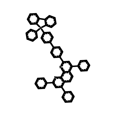 c1ccc(-c2cc(-c3ccccc3)c3ccc4c(-c5ccccc5)cc(-c5ccc(-c6ccc([Si]7(c8ccccc8)c8ccccc8-c8ccccc87)cc6)cc5)nc4c3n2)cc1